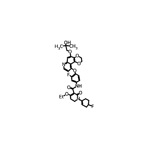 CCOC1=C(C(=O)Nc2ccc(Oc3ccnc4cc(OCC(C)(C)O)c5c(c34)OCCO5)c(F)c2)C(=O)N(C2=CCC(F)CC2)CC1